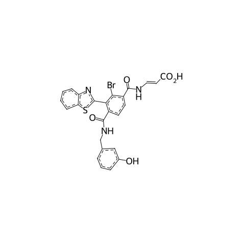 O=C(O)C=CNC(=O)c1ccc(C(=O)NCc2cccc(O)c2)c(-c2nc3ccccc3s2)c1Br